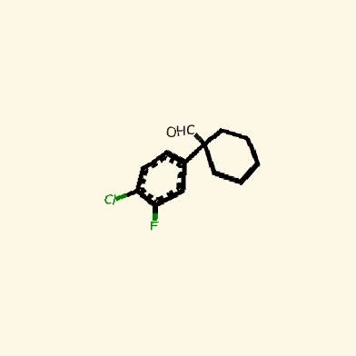 O=CC1(c2ccc(Cl)c(F)c2)CCCCC1